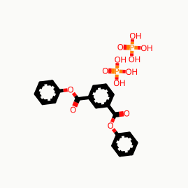 O=C(Oc1ccccc1)c1cccc(C(=O)Oc2ccccc2)c1.O=P(O)(O)O.O=P(O)(O)O